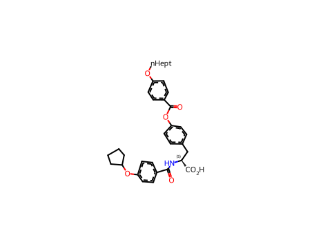 CCCCCCCOc1ccc(C(=O)Oc2ccc(C[C@H](NC(=O)c3ccc(OC4CCCC4)cc3)C(=O)O)cc2)cc1